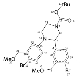 COCc1cc(C2CN(C(=O)OC(C)(C)C)CCN2c2ccc(Br)c(COC)c2)ccc1Br